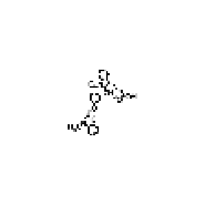 Cc1c(CCCC(=O)O)c2ccccc2n1C(=O)c1ccc(OC[C@@H]2CN(C)c3ccccc3O2)cc1